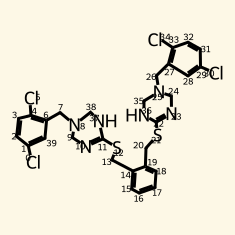 Clc1ccc(Cl)c(CN2CN=C(SCc3ccccc3CSC3=NCN(Cc4cc(Cl)ccc4Cl)CN3)NC2)c1